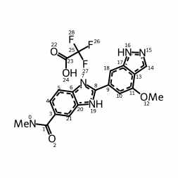 CNC(=O)c1ccc2nc(-c3cc(OC)c4cn[nH]c4c3)[nH]c2c1.O=C(O)C(F)(F)F